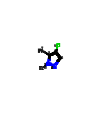 CCn1n[c]c(Cl)c1C(C)C